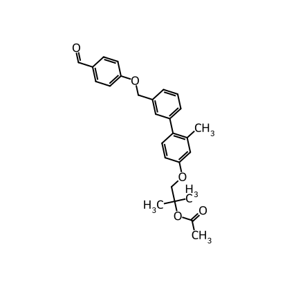 CC(=O)OC(C)(C)COc1ccc(-c2cccc(COc3ccc(C=O)cc3)c2)c(C)c1